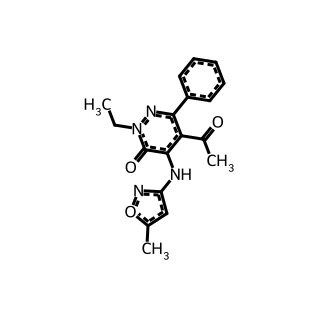 CCn1nc(-c2ccccc2)c(C(C)=O)c(Nc2cc(C)on2)c1=O